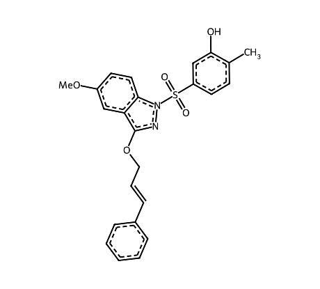 COc1ccc2c(c1)c(OCC=Cc1ccccc1)nn2S(=O)(=O)c1ccc(C)c(O)c1